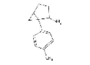 Cc1ccc(C23CC2CCC3N)cc1